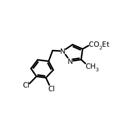 CCOC(=O)c1cn(Cc2ccc(Cl)c(Cl)c2)nc1C